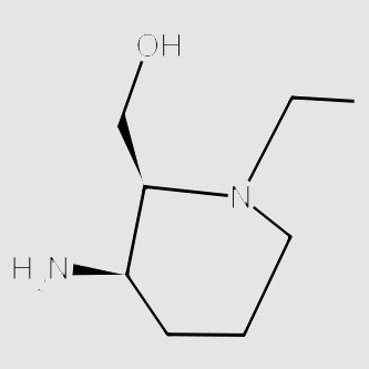 CCN1CCC[C@@H](N)[C@H]1CO